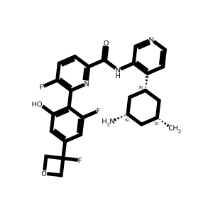 C[C@@H]1C[C@H](N)C[C@H](c2ccncc2NC(=O)c2ccc(F)c(-c3c(O)cc(C4(F)COC4)cc3F)n2)C1